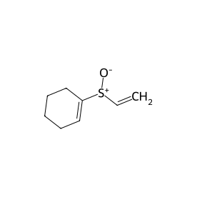 C=C[S+]([O-])C1=CCCCC1